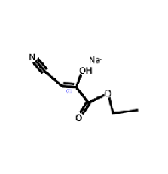 CCOC(=O)/C(O)=C/C#N.[Na]